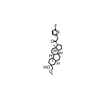 COC[C@@]1(O)CC[C@@]2(C)[C@@H](CC[C@@H]3[C@@H]2CC[C@]2(C)[C@@H](C(=O)Cn4ccc(F)n4)CC[C@@H]32)C1